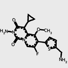 COc1c(-c2ccc(CN)s2)c(F)cn2c(=O)n(N)c(=O)c(C3CC3)c12